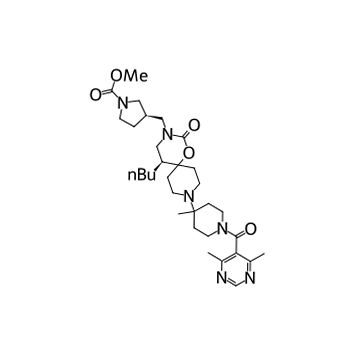 CCCC[C@H]1CN(C[C@H]2CCN(C(=O)OC)C2)C(=O)OC12CCN(C1(C)CCN(C(=O)c3c(C)ncnc3C)CC1)CC2